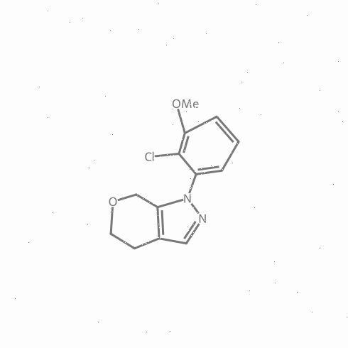 COc1cccc(-n2ncc3c2COCC3)c1Cl